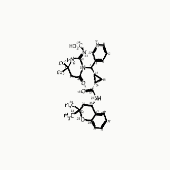 CCC1(CC)CC(=O)N(C(c2cccnc2)[C@H]2C[C@@H]2C(=O)N[C@H]2CC(C)(C)Oc3ccccc32)C(=NC(=O)O)N1